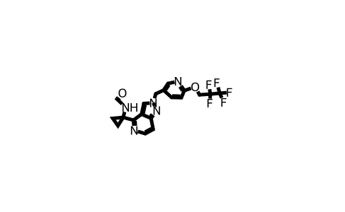 O=CNC1(c2nccc3nn(Cc4ccc(OCC(F)(F)C(F)(F)F)nc4)cc23)CC1